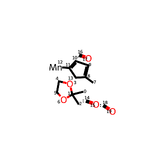 CC1(C)OCCO1.CC1=CC=[C]([Mn])C1.[C]=O.[C]=O.[C]=O